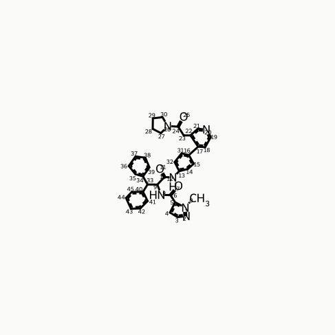 Cn1nccc1C(=O)NC(C(=O)Nc1ccc(-c2ccncc2CC(=O)N2CCCC2)cc1)C(c1ccccc1)c1ccccc1